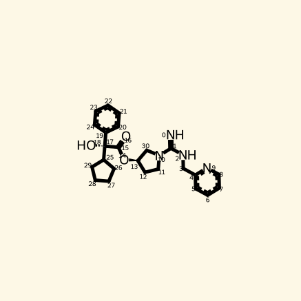 N=C(NCc1ccccn1)N1CC[C@@H](OC(=O)[C@](O)(c2ccccc2)C2CCCC2)C1